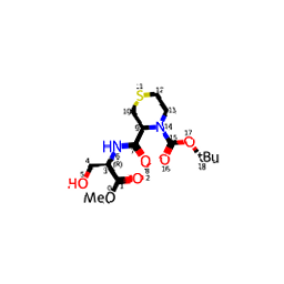 COC(=O)[C@@H](CO)NC(=O)C1CSCCN1C(=O)OC(C)(C)C